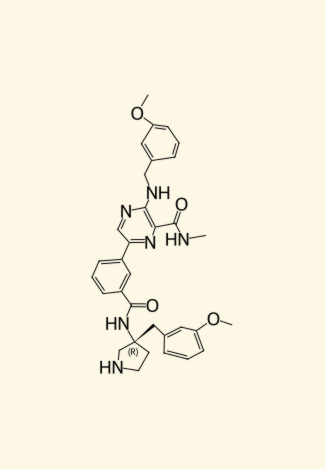 CNC(=O)c1nc(-c2cccc(C(=O)N[C@]3(Cc4cccc(OC)c4)CCNC3)c2)cnc1NCc1cccc(OC)c1